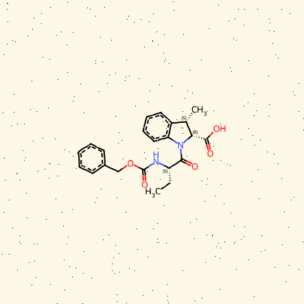 CC[C@H](NC(=O)OCc1ccccc1)C(=O)N1c2ccccc2[C@H](C)[C@@H]1C(=O)O